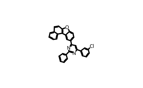 Clc1cccc(-c2cc(-c3ccc4oc5ccc6ccccc6c5c4c3)nc(-c3ccccc3)n2)c1